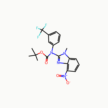 Cn1c(N(C(=O)OC(C)(C)C)c2cccc(C(F)(F)F)c2)nc2c([N+](=O)[O-])cccc21